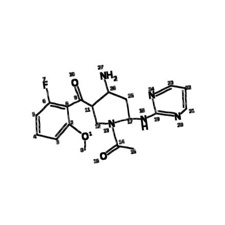 COc1cccc(F)c1C(=O)C1CN(C(C)=O)C(Nc2ncccn2)CC1N